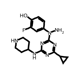 NN(c1ccc(O)c(F)c1)c1nc(NC2CCNCC2)nc(C2CC2)n1